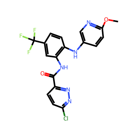 COc1ccc(Nc2ccc(C(F)(F)F)cc2NC(=O)c2ccc(Cl)nn2)cn1